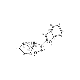 c1ccc2oc(C3=NO[C@]4(CN5CCC4CC5)N3)cc2c1